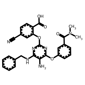 CN(C)C(=O)c1cccc(Oc2nc(Oc3cc(C#N)ccc3C(=O)O)nc(NCc3ccccc3)c2N)c1